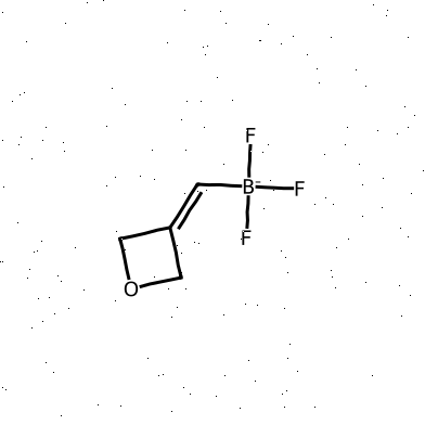 F[B-](F)(F)C=C1COC1